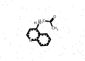 CC(C)=O.Nc1ccnc2ccccc12